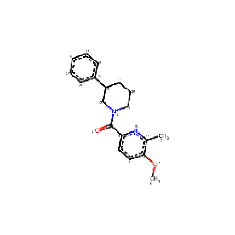 COc1ccc(C(=O)N2CCCC(c3ccccc3)C2)nc1C